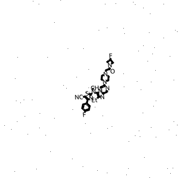 CCc1nc2cnc(N3CCN(CC(=O)N4CC(F)C4)CC3)cn2c1N(C)c1nc(-c2ccc(F)cc2)c(C#N)s1